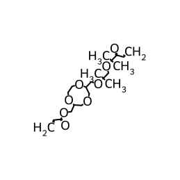 C=CC(=O)OCC1COCC(COC(C)(C)COC(C)(C)C(=O)C=C)OCCO1